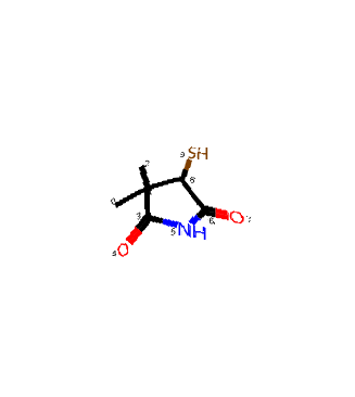 CC1(C)C(=O)NC(=O)C1S